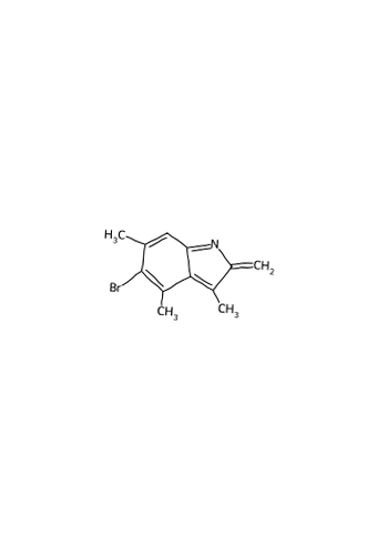 C=C1N=c2cc(C)c(Br)c(C)c2=C1C